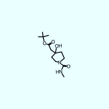 CNC(=O)N1CCC(O)(CC(=O)OC(C)(C)C)CC1